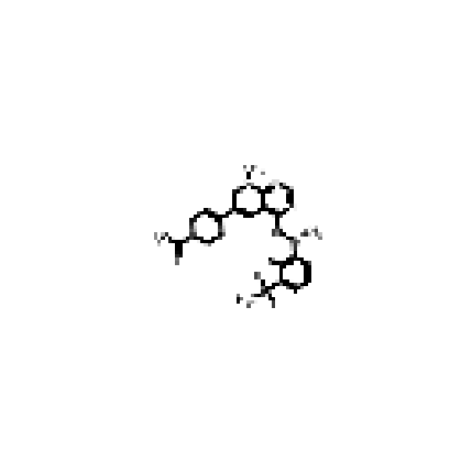 CC(=O)N1CC=C(C2=Cc3c(N[C@H](C)c4cccc(C(C)(F)F)c4F)ncnc3N(C)C2)CC1